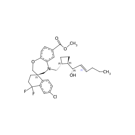 CCC/C=C/[C@H](O)[C@@H]1CC[C@H]1CN1C[C@@]2(CCC(F)(F)c3cc(Cl)ccc32)COc2ccc(C(=O)OC)cc21